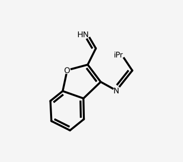 CC(C)/C=N\c1c(C=N)oc2ccccc12